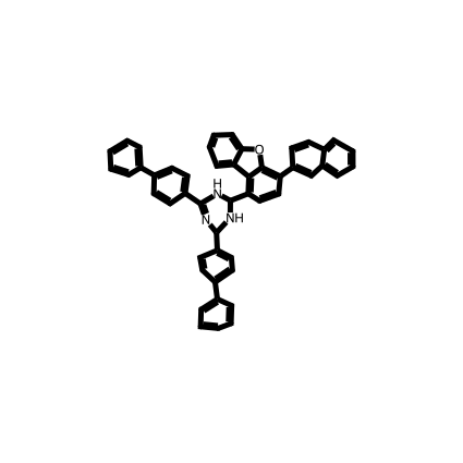 c1ccc(-c2ccc(C3=NC(c4ccc(-c5ccccc5)cc4)NC(c4ccc(-c5ccc6ccccc6c5)c5oc6ccccc6c45)N3)cc2)cc1